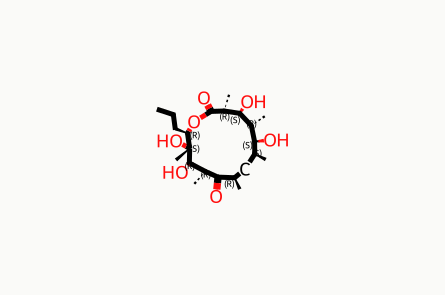 CCC[C@H]1OC(=O)[C@H](C)[C@@H](O)[C@H](C)[C@@H](O)[C@@H](C)C[C@@H](C)C(=O)[C@H](C)[C@@H](O)[C@]1(C)O